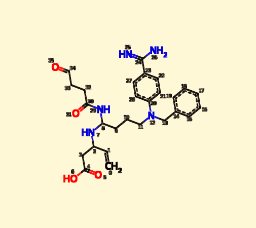 C=CC(CC(=O)O)NC(CCCN(Cc1ccccc1)c1ccc(C(=N)N)cc1)NC(=O)CCC=O